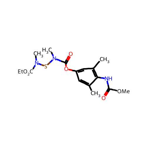 CCOC(=O)N(C)SN(C)C(=O)Oc1cc(C)c(NC(=O)OC)c(C)c1